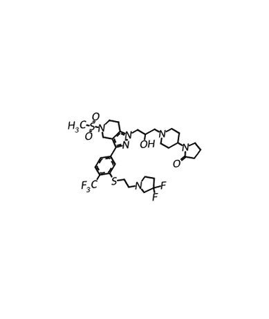 CS(=O)(=O)N1CCc2c(c(-c3ccc(C(F)(F)F)c(SCCN4CCC(F)(F)C4)c3)nn2CC(O)CN2CCC(N3CCCC3=O)CC2)C1